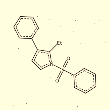 [CH2]Cc1c(-c2ccccc2)ccn1S(=O)(=O)c1ccccc1